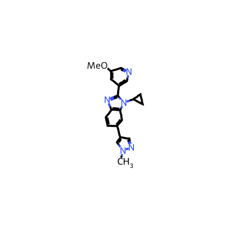 COc1cncc(-c2nc3ccc(-c4cnn(C)c4)cc3n2C2CC2)c1